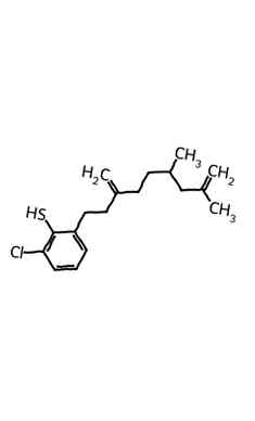 C=C(C)CC(C)CCC(=C)CCc1cccc(Cl)c1S